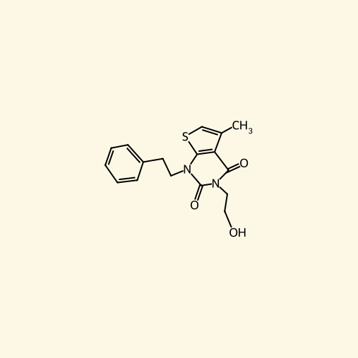 Cc1csc2c1c(=O)n(CCO)c(=O)n2CCc1ccccc1